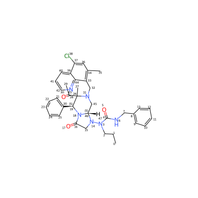 CCCN(C(=O)NCc1ccccc1)N1CC(=O)N2[C@@H](c3ccccc3)C(C)(C(C)=O)N(Cc3c(C)cc(Cl)c4cccnc34)C[C@@H]21